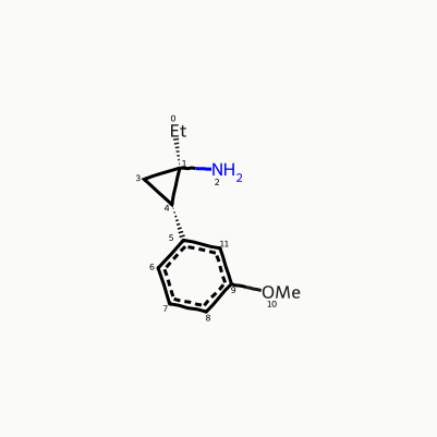 CC[C@@]1(N)C[C@H]1c1cccc(OC)c1